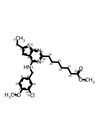 CCc1cc2c(NCc3ccc(OC)c(Cl)c3)nc(CCCCCCC(=O)OC)nc2s1